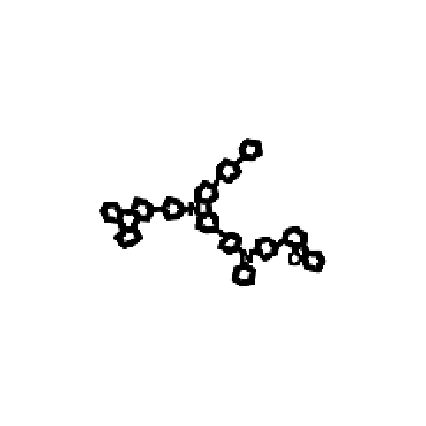 c1ccc(-c2ccc(-c3ccc4c(c3)c3cc(-c5ccc(N(c6ccccc6)c6ccc(-c7cccc8c7oc7ccccc78)cc6)cc5)ccc3n4-c3ccc(-c4ccc5c6ccccc6c6ccccc6c5c4)cc3)cc2)cc1